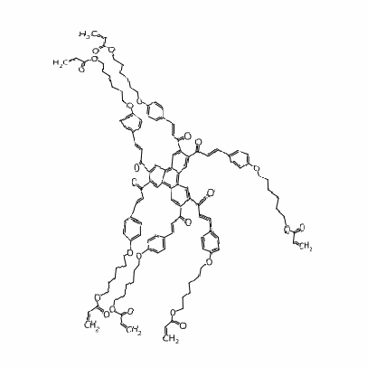 C=CC(=O)OCCCCCCOc1ccc(/C=C/C(=O)c2cc3c4cc(C(=O)/C=C/c5ccc(OCCCCCCOC(=O)C=C)cc5)c(C(=O)/C=C/c5ccc(OCCCCCCOC(=O)C=C)cc5)cc4c4cc(C(=O)/C=C/c5ccc(OCCCCCCOC(=O)C=C)cc5)c(C(=O)/C=C/c5ccc(OCCCCCCOC(=O)C=C)cc5)cc4c3cc2C(=O)/C=C/c2ccc(OCCCCCCOC(=O)C=C)cc2)cc1